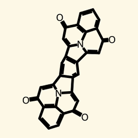 O=c1cc2c3cc4c(cc3c3cc(=O)c5cccc1c5n23)c1cc(=O)c2cccc3c(=O)cc4n1c32